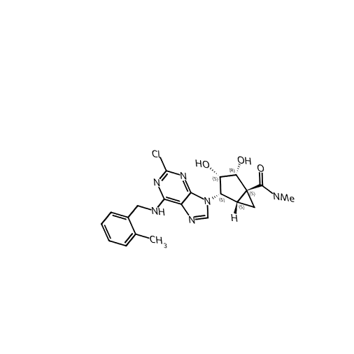 CNC(=O)[C@@]12C[C@@H]1[C@H](n1cnc3c(NCc4ccccc4C)nc(Cl)nc31)[C@H](O)[C@@H]2O